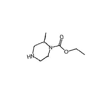 CCOC(=O)N1CCNC[C]1C